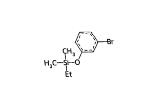 CC[Si](C)(C)Oc1cccc(Br)c1